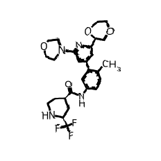 Cc1ccc(NC(=O)[C@@H]2CCN[C@H](C(F)(F)F)C2)cc1-c1cc(C2COCCO2)nc(N2CCOCC2)c1